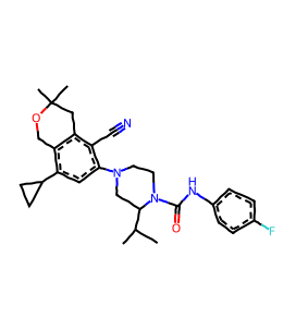 CC(C)C1CN(c2cc(C3CC3)c3c(c2C#N)CC(C)(C)OC3)CCN1C(=O)Nc1ccc(F)cc1